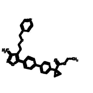 CCOC(=O)C1(c2ccc(-c3ccc(-c4onc(C)c4CCOCc4ccncc4)cc3)cc2)CC1